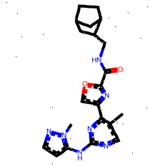 Cc1cnc(Nc2ccnn2C)nc1-c1coc(C(=O)NCC2CC3CCC2C3)n1